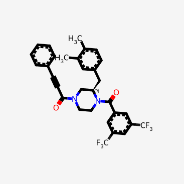 Cc1ccc(C[C@@H]2CN(C(=O)C#Cc3ccccc3)CCN2C(=O)c2cc(C(F)(F)F)cc(C(F)(F)F)c2)cc1C